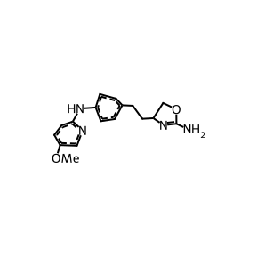 COc1ccc(Nc2ccc(CCC3COC(N)=N3)cc2)nc1